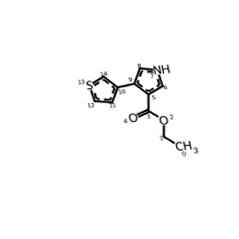 CCOC(=O)c1c[nH]cc1-c1ccsc1